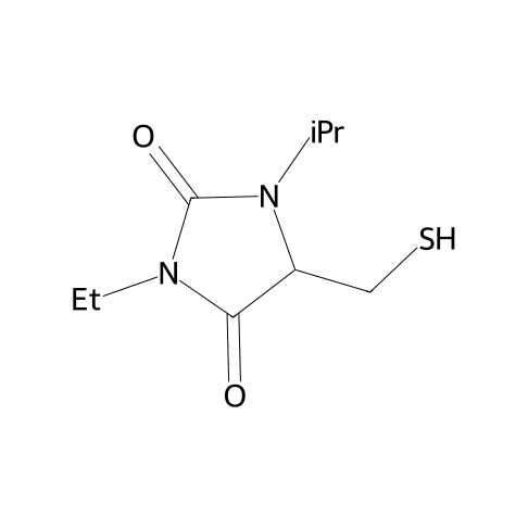 CCN1C(=O)C(CS)N(C(C)C)C1=O